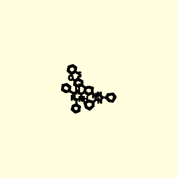 c1ccc(C2=NC(c3ccccc3)[N+](c3ccc(-c4ccc5c(c4)Sc4ccccc4O5)c(C4NC(c5ccccc5)=NC(c5ccccc5)N4)c3)=N2)cc1